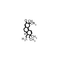 CCC1[C@@H]2CCC3=CC(=O)C(C)(C)CC3=C2C=CC1(C)CC